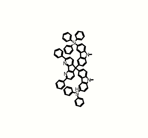 Cn1c2ccc([SiH](c3ccccc3)c3ccccc3)cc2c2cc(C3(c4ccc5c(c4)c4cc([Si](c6ccccc6)(c6ccccc6)c6ccccc6)ccc4n5C)c4ccc(-c5ccccc5)nc4-c4nc(-c5ccccc5)ccc43)ccc21